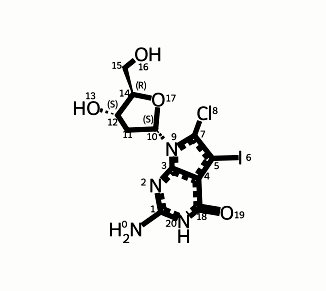 Nc1nc2c(c(I)c(Cl)n2[C@@H]2C[C@H](O)[C@@H](CO)O2)c(=O)[nH]1